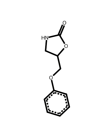 O=C1NCC(COc2ccccc2)O1